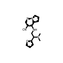 [C-]#[N+]c1cnn2cccc2c1NCC(c1ccco1)N(C)C